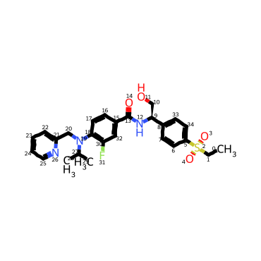 CCS(=O)(=O)c1ccc([C@H](CO)NC(=O)c2ccc(N(Cc3ccccn3)C(C)C)c(F)c2)cc1